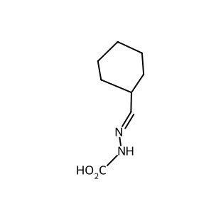 O=C(O)NN=CC1CCCCC1